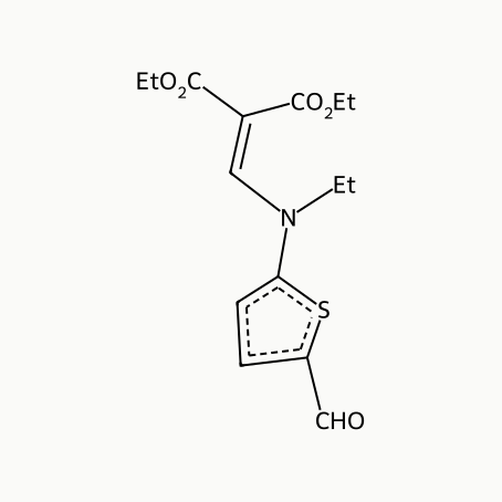 CCOC(=O)C(=CN(CC)c1ccc(C=O)s1)C(=O)OCC